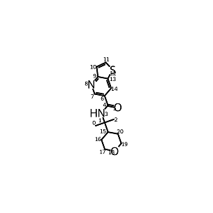 CC(C)(NC(=O)c1cnc2ccsc2c1)C1CCOCC1